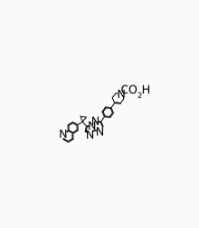 O=C(O)N1CC=C(c2ccc(-c3cnc4ncc(C5(c6ccc7ncccc7c6)CC5)n4n3)cc2)CC1